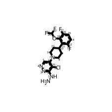 NNc1nncc(N2CCC(c3c(F)ccc(F)c3OC(F)F)CC2)c1Cl